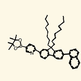 CCCCCCCCC1(CCCCCCCC)c2cc(-c3ccc(B4OC(C)(C)C(C)(C)O4)cn3)ccc2-c2ccc(-c3cccc4ccccc34)cc21